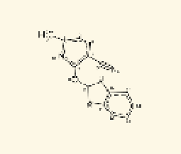 Cc1ccc(C#N)c(OC2Cc3ccccc3C2)n1